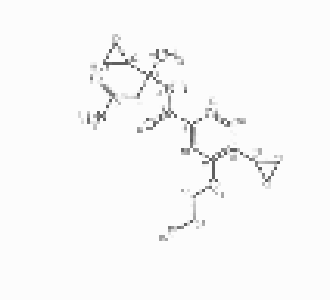 CC(CC(N)=O)(NC(=O)c1cc(OCCF)c(C2CC2)cn1)C1CC1